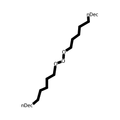 CCCCCCCCCCCCCCCOOOCCCCCCCCCCCCCCC